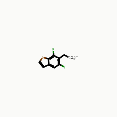 CCOC(=O)Cc1c(F)cc2ccsc2c1F